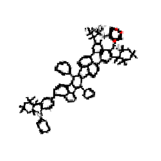 CCCC(C)(C)C1(C)c2cc(-c3ccc4c5c(-c6ccccc6)c6c7ccc(-c8ccc9c(c8)C8(C)C(C)(C)CC(C)(C)CC8(C)N9c8ccccc8)c8cccc(c6c(-c6ccccc6)c5c5ccc(-c6ccc9c(c6)C6(C)C(C)(C)CC(C)(C)CC6(C)N9c6ccccc6)c3c54)c87)ccc2N(c2ccccc2)C1(C)CCC